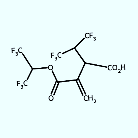 C=C(C(=O)OC(C(F)(F)F)C(F)(F)F)C(C(=O)O)C(C(F)(F)F)C(F)(F)F